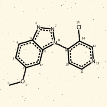 COc1ccc2nnn(-c3ccncc3Cl)c2c1